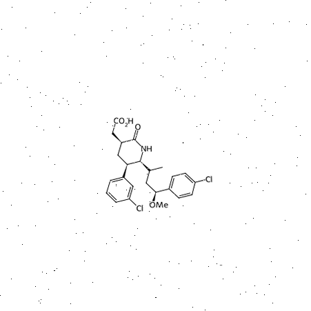 CO[C@@H](CC(C)[C@@H]1NC(=O)[C@H](CC(=O)O)C[C@@H]1c1cccc(Cl)c1)c1ccc(Cl)cc1